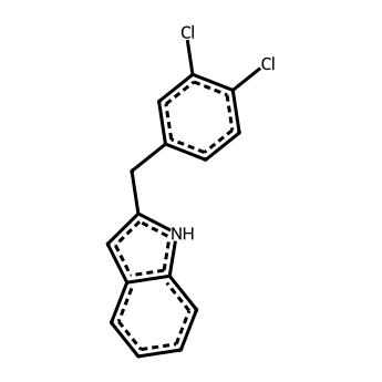 Clc1ccc(Cc2cc3ccccc3[nH]2)cc1Cl